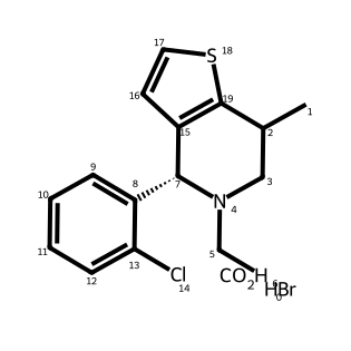 Br.CC1CN(CC(=O)O)[C@H](c2ccccc2Cl)c2ccsc21